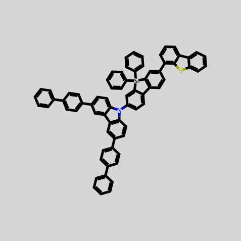 c1ccc(-c2ccc(-c3ccc4c(c3)c3cc(-c5ccc(-c6ccccc6)cc5)ccc3n4-c3ccc4c(c3)[Si](c3ccccc3)(c3ccccc3)c3cc(-c5cccc6c5sc5ccccc56)ccc3-4)cc2)cc1